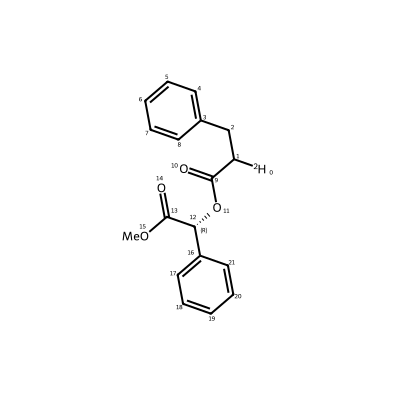 [2H]C(Cc1ccccc1)C(=O)O[C@@H](C(=O)OC)c1ccccc1